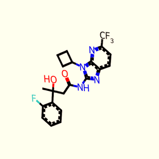 CC(O)(CC(=O)Nc1nc2ccc(C(F)(F)F)nc2n1C1CCC1)c1ccccc1F